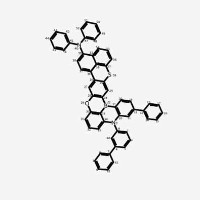 c1ccc(-c2cccc(N3c4cc(-c5ccccc5)ccc4B4c5cc6c(cc5Oc5cccc3c54)-c3ccc(N(c4ccccc4)c4ccccc4)c4cccc(c34)S6)c2)cc1